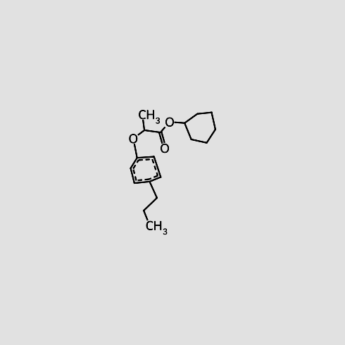 CCCc1ccc(OC(C)C(=O)OC2CCCCC2)cc1